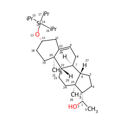 CC(O)[C@H]1CC[C@H]2[C@@H]3CC=C4C[C@@H](O[Si](C(C)C)(C(C)C)C(C)C)CC[C@]4(C)[C@H]3CC[C@]12C